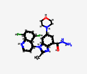 Cc1nc2c(C(=O)NN)cc(N3CCOCC3)cc2n1-c1ccnc2c(F)ccc(F)c12